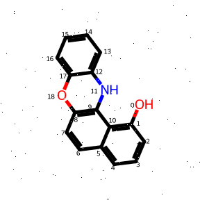 Oc1cccc2ccc3c(c12)Nc1ccccc1O3